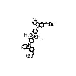 CC(C)(C)Cc1ccc2c(c1)c1cnccc1n2-c1ccc([Si](C)(C)c2ccc(-n3c4ccncc4c4cc(CC(C)(C)C)ccc43)cc2)cc1